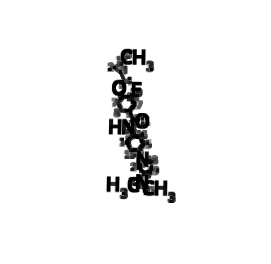 CC1CC1COc1ccc(C(=O)Nc2ccc(N3CCC(N(C)C)C3)cc2)cc1F